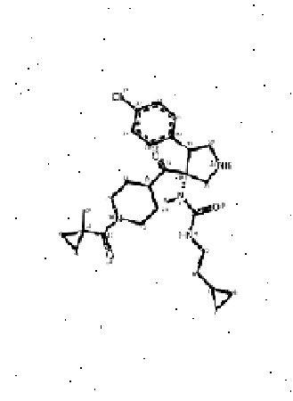 CN(C(=O)NCCC1CC1)[C@@]1(C(=O)C2CCN(C(=O)C3(C)CC3)CC2)CNC[C@@H]1c1ccc(Cl)cc1